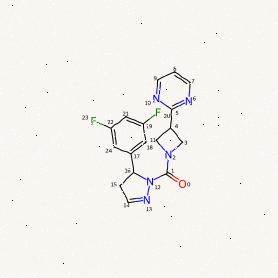 O=C(N1CC(c2ncccn2)C1)N1N=CCC1c1cc(F)cc(F)c1